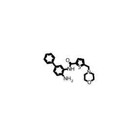 Nc1ccc(-c2ccccc2)cc1NC(=O)c1ccc(CN2CCOCC2)s1